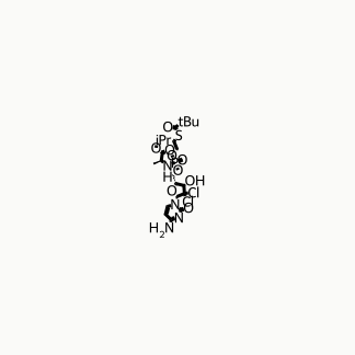 CC(C)OC(=O)[C@H](C)NP(=O)(OCCSC(=O)C(C)(C)C)OC[C@H]1O[C@@H](n2ccc(N)nc2=O)C(Cl)(Cl)[C@@H]1O